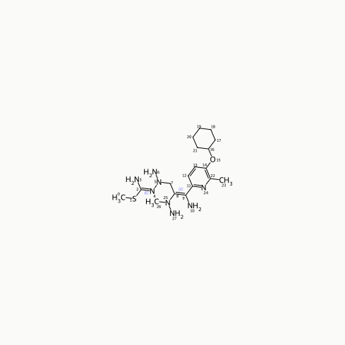 CS/C(N)=N/N(N)C/C(=C(/N)c1ccc(OC2CCCCC2)c(C)n1)N(C)N